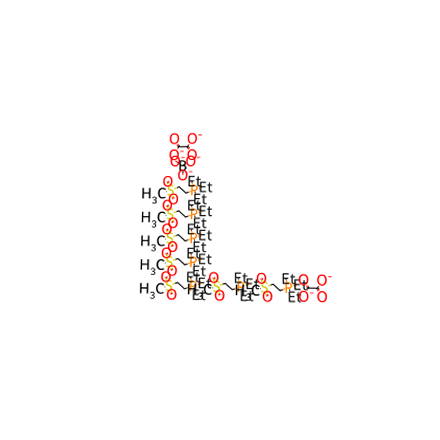 CC[P+](CC)(CC)CCS(C)(=O)=O.CC[P+](CC)(CC)CCS(C)(=O)=O.CC[P+](CC)(CC)CCS(C)(=O)=O.CC[P+](CC)(CC)CCS(C)(=O)=O.CC[P+](CC)(CC)CCS(C)(=O)=O.CC[P+](CC)(CC)CCS(C)(=O)=O.CC[P+](CC)(CC)CCS(C)(=O)=O.O=C([O-])C(=O)[O-].O=C([O-])C(=O)[O-].[O-]B([O-])[O-]